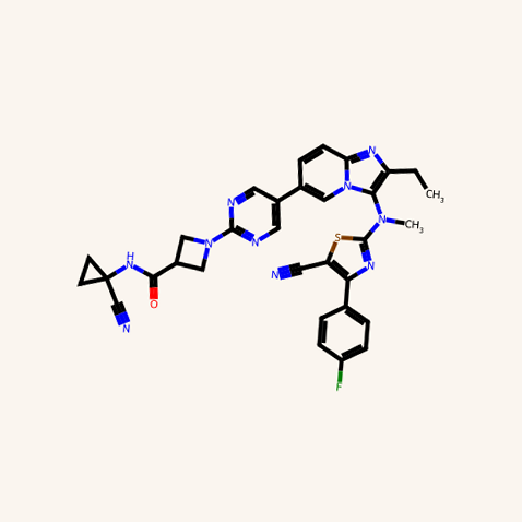 CCc1nc2ccc(-c3cnc(N4CC(C(=O)NC5(C#N)CC5)C4)nc3)cn2c1N(C)c1nc(-c2ccc(F)cc2)c(C#N)s1